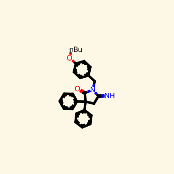 CCCCOc1ccc(CN2C(=N)CC(c3ccccc3)(c3ccccc3)C2=O)cc1